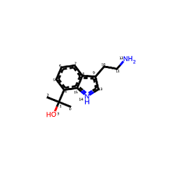 CC(C)(O)c1cccc2c(CCN)c[nH]c12